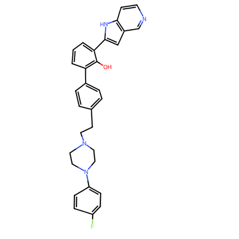 Oc1c(-c2ccc(CCN3CCN(c4ccc(F)cc4)CC3)cc2)cccc1-c1cc2cnccc2[nH]1